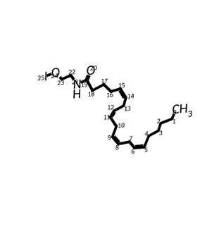 CCCCC/C=C\C/C=C\C/C=C\C/C=C\CCCC(=O)NCCOI